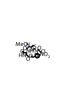 CO/N=C(\C(=O)NC1C(=O)NC1C(=O)OCc1ccc([N+](=O)[O-])cc1)c1csc(NC(=O)CCl)n1